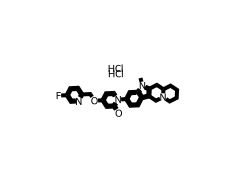 Cl.Cl.Cn1c2c(c3ccc(-n4ccc(OCc5ccc(F)cn5)cc4=O)cc31)CN1CCCCC1C2